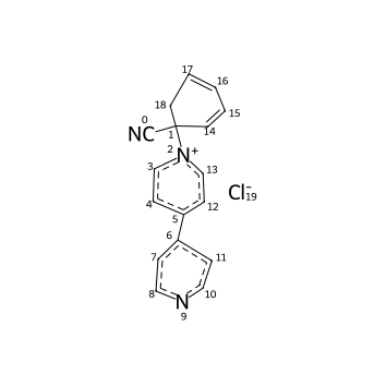 N#CC1([n+]2ccc(-c3ccncc3)cc2)C=CC=CC1.[Cl-]